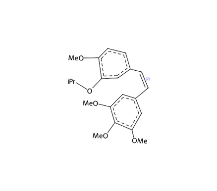 COc1ccc(/C=C\c2cc(OC)c(OC)c(OC)c2)cc1OC(C)C